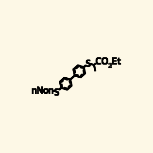 CCCCCCCCCSc1ccc(-c2ccc(S[C@H](C)C(=O)OCC)cc2)cc1